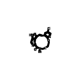 CCN1CCCCOc2ncc(Cl)cc2/C=C/c2n[nH]c3cnc(nc23)C1=O